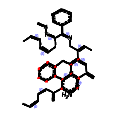 C=N/N=C(C/C=C\C=C/C)\C(=N/CC(/C=C\Cc1ccccc1-c1ccccc1C/C=C\C(=C)C(=N/N)/N=C(\CC(=C)/C=C\C=C/C)c1ccccc1)=C/C)c1ccccc1